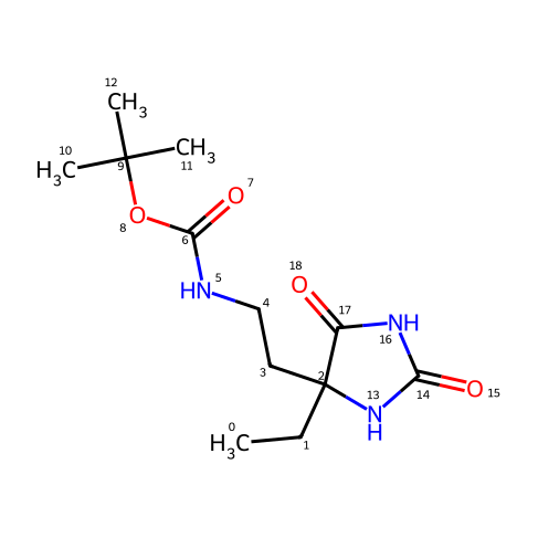 CCC1(CCNC(=O)OC(C)(C)C)NC(=O)NC1=O